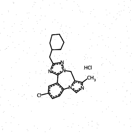 Cc1ncn2c1Cn1nc(CC3CCCCC3)nc1-c1cc(Cl)ccc1-2.Cl